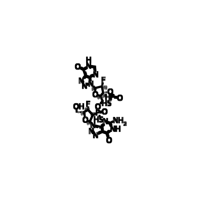 Nc1nc2c(nnn2[C@@H]2O[C@H](CO)[C@@H](F)[C@H]2P(=O)(S)OC[C@H]2O[C@@H](n3nnc4c(=O)[nH]cnc43)[C@@H](F)[C@@H]2O[PH](=O)S)c(=O)[nH]1